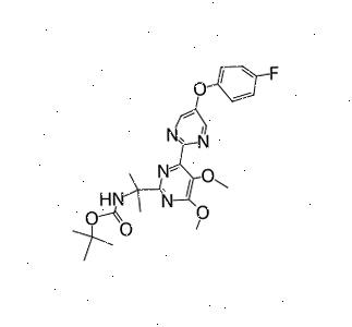 COc1nc(C(C)(C)NC(=O)OC(C)(C)C)nc(-c2ncc(Oc3ccc(F)cc3)cn2)c1OC